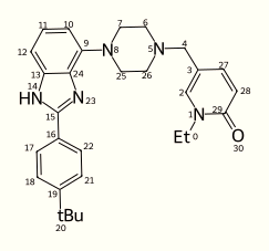 CCn1cc(CN2CCN(c3cccc4[nH]c(-c5ccc(C(C)(C)C)cc5)nc34)CC2)ccc1=O